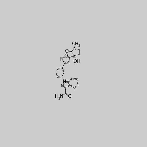 CN1CC[C@@](O)(c2cc(-c3cccc(-n4nc(C(N)=O)c5ccccc54)c3)no2)C1=O